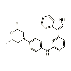 C[C@@H]1CN(c2ccc(Nc3nccc(-c4c[nH]c5ccccc45)n3)cc2)C[C@H](C)O1